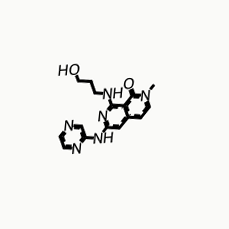 Cn1ccc2cc(Nc3cnccn3)nc(NCCCO)c2c1=O